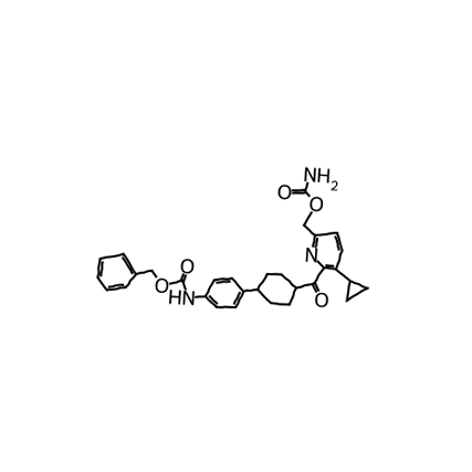 NC(=O)OCc1ccc(C2CC2)c(C(=O)C2CCC(c3ccc(NC(=O)OCc4ccccc4)cc3)CC2)n1